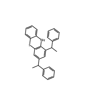 CC(c1ccccc1)c1cc2c(c(C(C)c3ccccc3)c1)Nc1ccccc1S2